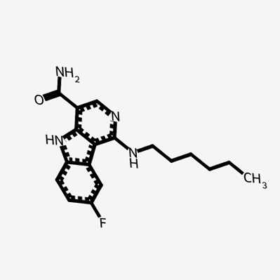 CCCCCCNc1ncc(C(N)=O)c2[nH]c3ccc(F)cc3c12